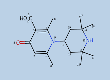 Cc1cc(=O)c(C(=O)O)c(C)n1C1CC(C)(C)NC(C)(C)C1